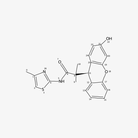 Cc1csc(NC(=O)C(C)(C)[C@@H]2c3ccccc3Oc3cc(O)ccc32)n1